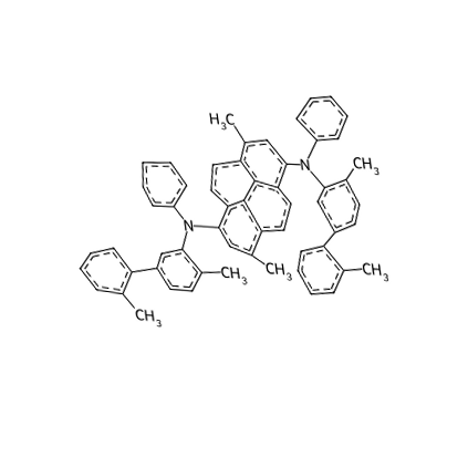 Cc1ccccc1-c1ccc(C)c(N(c2ccccc2)c2cc(C)c3ccc4c(N(c5ccccc5)c5cc(-c6ccccc6C)ccc5C)cc(C)c5ccc2c3c54)c1